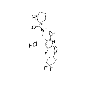 COc1nc(OC2CCC(F)(F)CC2)c(F)cc1CN(C)C(=O)[C@H]1CCCN1.Cl